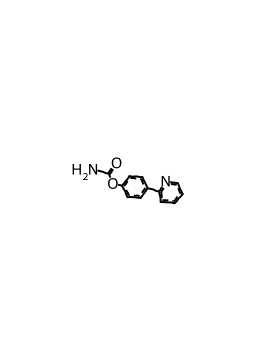 NC(=O)Oc1ccc(-c2ccccn2)cc1